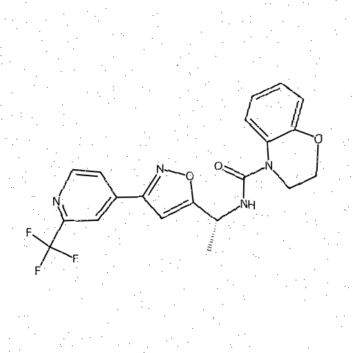 C[C@@H](NC(=O)N1CCOc2ccccc21)c1cc(-c2ccnc(C(F)(F)F)c2)no1